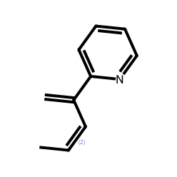 C=C(/C=C\C)c1ccccn1